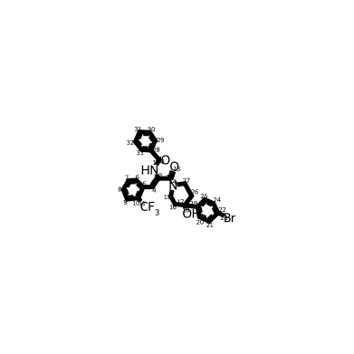 O=C(N/C(=C\c1ccccc1C(F)(F)F)C(=O)N1CCC(O)(c2ccc(Br)cc2)CC1)c1ccccc1